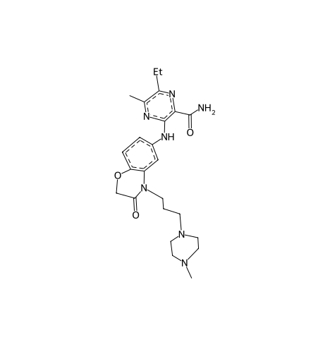 CCc1nc(C(N)=O)c(Nc2ccc3c(c2)N(CCCN2CCN(C)CC2)C(=O)CO3)nc1C